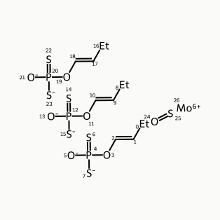 CCC=COP([O-])(=S)[S-].CCC=COP([O-])(=S)[S-].CCC=COP([O-])(=S)[S-].O=S.[Mo+6]